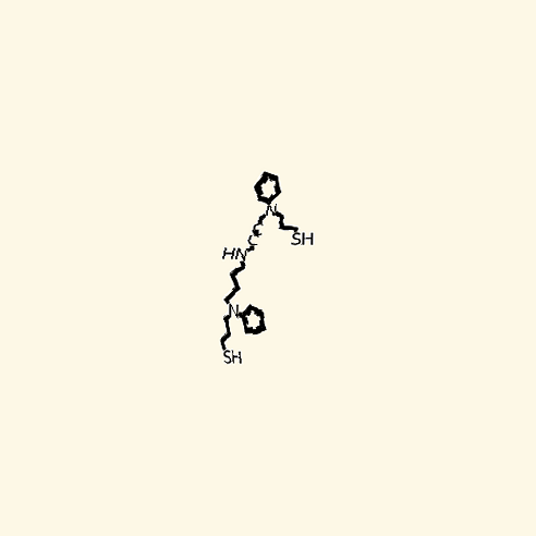 SCCCN(CCCCNCCCCN(CCCS)c1ccccc1)c1ccccc1